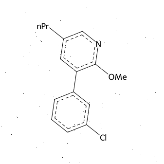 C[CH]Cc1cnc(OC)c(-c2cccc(Cl)c2)c1